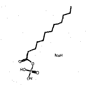 CCCCCCCCCCCC(=O)OP(=O)(O)O.[NaH]